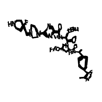 Cc1ncsc1-c1ccc(C(C)NC(=O)[C@@H]2C[C@@H](O)CN2C(=O)C(NC(=O)c2cnc(N3CCN(CC4(F)CCNCC4)CC3)cn2)C(C)(C)C)cc1